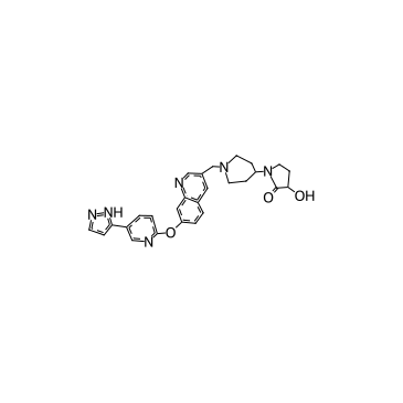 O=C1C(O)CCN1C1CCN(Cc2cnc3cc(Oc4ccc(-c5ccn[nH]5)cn4)ccc3c2)CC1